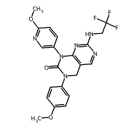 COc1ccc(N2Cc3cnc(NCC(F)(F)F)nc3N(c3ccc(OC)nc3)C2=O)cc1